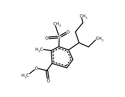 CCCC(CC)c1ccc(C(=O)OC)c(C)c1S(C)(=O)=O